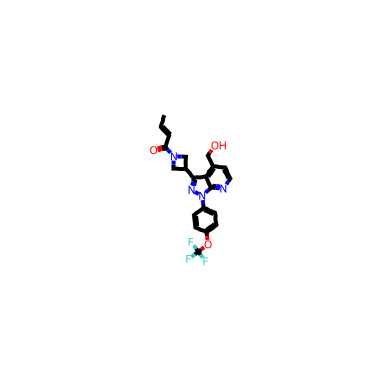 C/C=C/C(=O)N1CC(c2nn(-c3ccc(OC(F)(F)F)cc3)c3nccc(CO)c23)C1